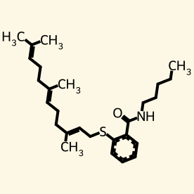 CCCCCNC(=O)c1ccccc1SC/C=C(\C)CC/C=C(\C)CCC=C(C)C